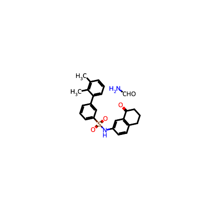 Cc1cccc(-c2cccc(S(=O)(=O)Nc3ccc4c(c3)C(=O)CCC4)c2)c1C.NC=O